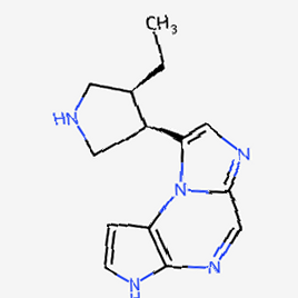 CC[C@@H]1CNC[C@@H]1c1cnc2cnc3[nH]ccc3n12